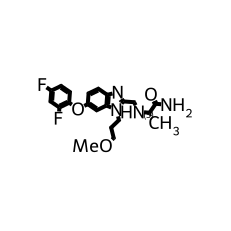 COCCCn1c(CN[C@@H](C)C(N)=O)nc2ccc(Oc3ccc(F)cc3F)cc21